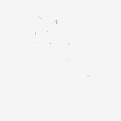 Cn1c(=O)c2c(ncn2CC(O)CN2CCCN(Cc3ccc(Cl)c(Cl)c3)CC2)n(C)c1=O